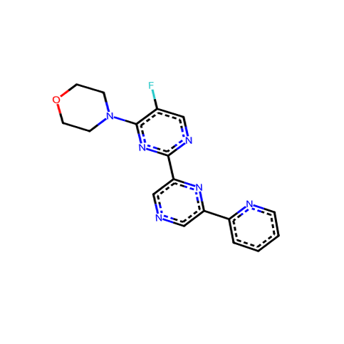 Fc1cnc(-c2cncc(-c3ccccn3)n2)nc1N1CCOCC1